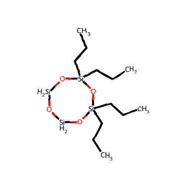 CCC[Si]1(CCC)O[SiH2]O[SiH2]O[Si](CCC)(CCC)O1